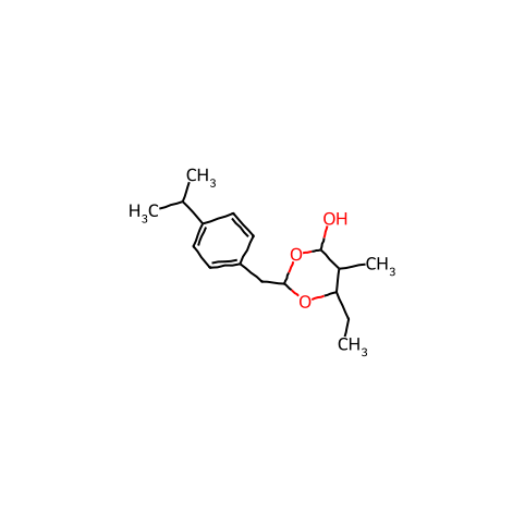 CCC1OC(Cc2ccc(C(C)C)cc2)OC(O)C1C